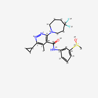 Cc1c(C2CC2)nnc(N2CCCC(F)(F)CC2)c1C(=O)Nc1cccc([S+](C)[O-])c1